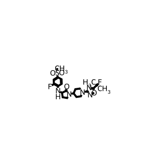 CC(C)(F)c1nc(N2CCC(N3CCC(Nc4ccc(S(C)(=O)=O)cc4F)C3=O)CC2)no1